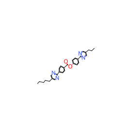 CCCCCc1cnc(-c2ccc(C(=O)Oc3ccc(-c4ncc(CCC)cn4)cc3)cc2)nc1